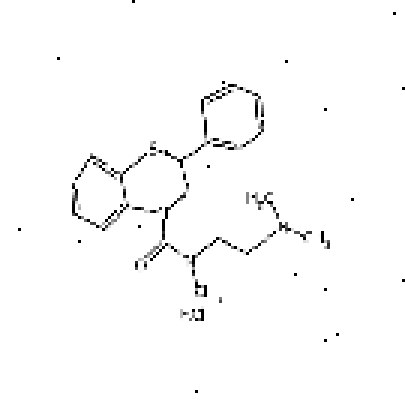 CN(C)CCN(C)C(=O)N1CC(c2ccccc2)Sc2ccccc21.Cl